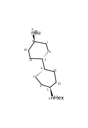 CCCCCC[C@H]1CC[C@H]([C@H]2CC[C@H](CCCC)CC2)CC1